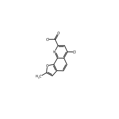 Cc1cc2ccc3c(Cl)cc(C(=O)Cl)nc3c2o1